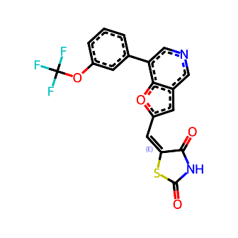 O=C1NC(=O)/C(=C\c2cc3cncc(-c4cccc(OC(F)(F)F)c4)c3o2)S1